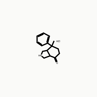 CC1(c2ccccc2)CCC(=O)C2CNCC21.Cl